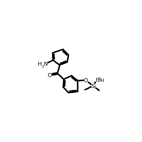 CC(C)(C)[Si](C)(C)Oc1cccc(C(=O)c2ccccc2N)c1